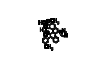 Cc1ccc(Cl)c(C2=c3ccccc3=c3ccc4c(c3C2=O)C(C)C(S(=O)(=O)O)C(C)C=4)c1.c1cnncn1